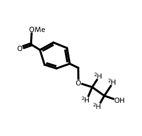 [2H]C([2H])(O)C([2H])([2H])OCc1ccc(C(=O)OC)cc1